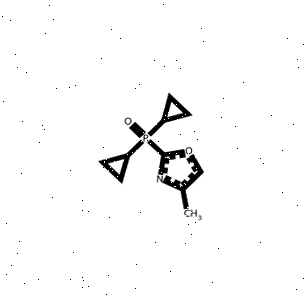 Cc1coc(P(=O)(C2CC2)C2CC2)n1